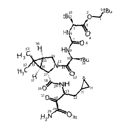 CC(C)(C)COC(=O)[C@@H](NC(=O)N[C@H](C(=O)N1C[C@H]2[C@@H]([C@H]1C(=O)NC(CC1CC1)C(=O)C(N)=O)C2(C)C)C(C)(C)C)C(C)(C)C